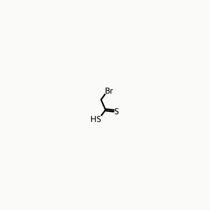 S=C(S)CBr